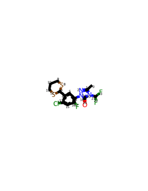 Cc1nn(-c2cc(C3SCCCS3)c(Cl)cc2F)c(=O)n1C(F)F